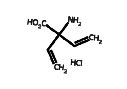 C=CC(N)(C=C)C(=O)O.Cl